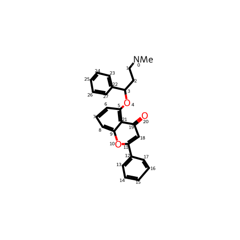 CNCCC(Oc1cccc2oc(-c3ccccc3)cc(=O)c12)c1ccccc1